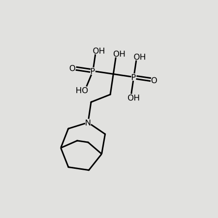 O=P(O)(O)C(O)(CCN1CC2CCC(CC2)C1)P(=O)(O)O